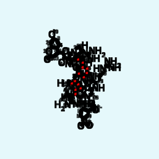 COc1ccc2c(CC(=O)[C@](N)(CCCNC(=N)N)C(=O)N3CCC[C@H]3C(=O)N[C@@H](CC(C)C)C(=O)NCC(=O)N[C@@H](CC(C)C)C(=O)N[C@@H](CNc3ccc([N+](=O)[O-])cc3[N+](=O)[O-])C(=O)N[C@@H](C)C(=O)N[C@@H](CCCNC(=N)N)C(=O)N[C@@H](CCC(=O)O)C(=O)N[C@H](CCCNC(=N)N)C(N)=O)cc(=O)oc2c1